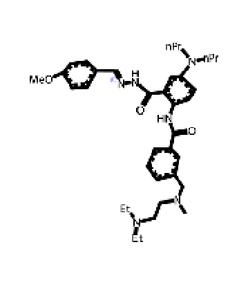 CCCN(CCC)c1ccc(NC(=O)c2cccc(CN(C)CCN(CC)CC)c2)c(C(=O)N/N=C/c2ccc(OC)cc2)c1